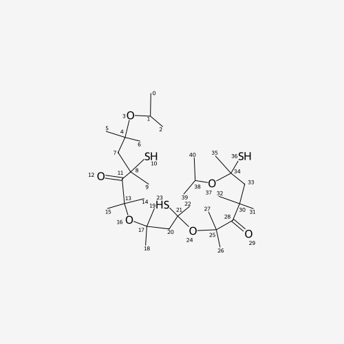 CC(C)OC(C)(C)CC(C)(S)C(=O)C(C)(C)OC(C)(C)CC(C)(S)OC(C)(C)C(=O)C(C)(C)CC(C)(S)OC(C)C